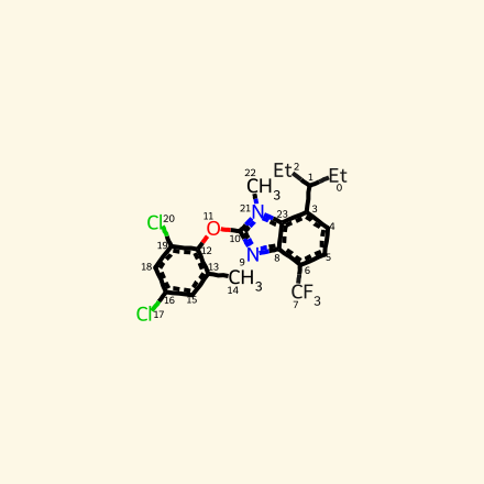 CCC(CC)c1ccc(C(F)(F)F)c2nc(Oc3c(C)cc(Cl)cc3Cl)n(C)c12